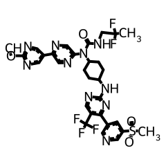 COc1ncc(-c2cnc(N(C(=O)NCC(C)(F)F)C3CCC(Nc4ncc(C(F)(F)F)c(-c5cncc(S(C)(=O)=O)c5)n4)CC3)cn2)cn1